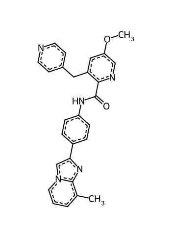 COc1cnc(C(=O)Nc2ccc(-c3cn4cccc(C)c4n3)cc2)c(Cc2ccncc2)c1